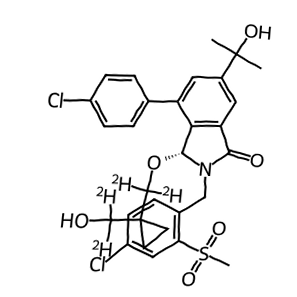 [2H]C([2H])(O)C1(C([2H])([2H])O[C@@H]2c3c(cc(C(C)(C)O)cc3-c3ccc(Cl)cc3)C(=O)N2Cc2ccc(Cl)cc2S(C)(=O)=O)CC1